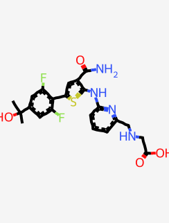 CC(C)(O)c1cc(F)c(-c2cc(C(N)=O)c(Nc3cccc(CNCC(=O)O)n3)s2)c(F)c1